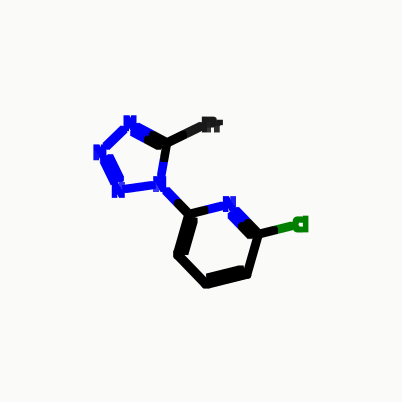 CC(C)c1nnnn1-c1cccc(Cl)n1